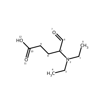 CCN(CC)C(C=O)CCC(=O)O